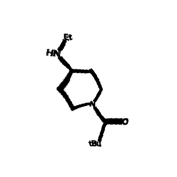 CCNC1CCN(C(=O)C(C)(C)C)CC1